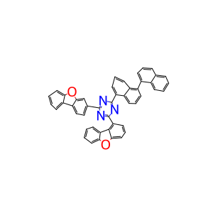 c1ccc2c(-c3cccc4c(-c5nc(-c6ccc7c(c6)oc6ccccc67)nc(-c6cccc7oc8ccccc8c67)n5)cccc34)cccc2c1